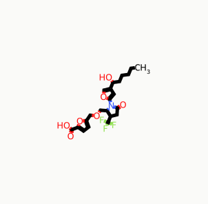 CCCCCC(O)c1coc(N2C(=O)CC(C(F)(F)F)C2COCc2ccc(C(=O)O)o2)c1